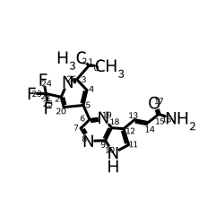 CC(C)c1cc(-c2cnc3[nH]cc(/C=C/C(N)=O)c3n2)cc(C(F)(F)F)n1